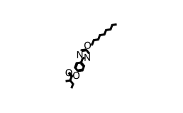 CCCCCCCCCOc1cnc(-c2ccc(OC(=O)C(C)CC)cc2)nc1